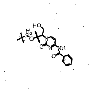 CC(C)(C)[SiH2]OC(C)(C)C(CO)n1ccc(NC(=O)c2ccccc2)nc1=O